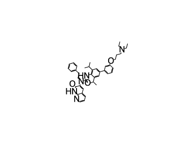 CCN(CC)CCCOc1cccc(-c2cc(C(C)C)c(NC(=O)N(CCc3ccccc3)c3cc4cccnc4[nH]c3=O)c(C(C)C)c2)c1